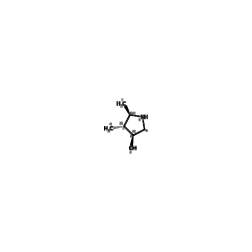 C[C@H]1[C@H](O)CN[C@@H]1C